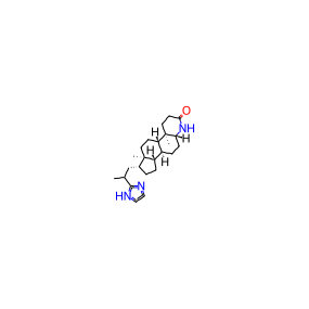 CC(C[C@H]1CC[C@H]2[C@@H]3CC[C@H]4NC(=O)CC[C@]4(C)[C@H]3CC[C@]12C)c1ncc[nH]1